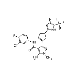 Cn1nc(C2=CCC(C3=C[SH]=C(C(F)(F)F)N3)C2)c(C(=O)Nc2ccc(F)c(Cl)c2)c1N